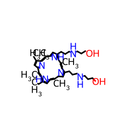 CCC1=Cc2nc1c(C)c1cc(CCCNCCCO)c([nH]1)c(C)c1nc(c(C)c3cc(CC)c([nH]3)c2C)C=C1CCCNCCCO